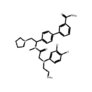 CNC(=O)c1cccc(-c2ccc(C(CN3CCCC3)N(C)C(=O)CN(CCOC)c3ccc(Cl)c(Cl)c3)cc2)c1